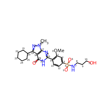 COc1cc(S(=O)(=O)NCCCO)ccc1-c1nc2c(c(C3CCCCC3)nn2C)c(=O)[nH]1